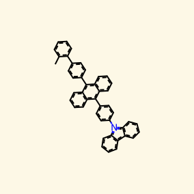 Cc1ccccc1-c1ccc(-c2c3ccccc3c(-c3ccc(-n4c5ccccc5c5ccccc54)cc3)c3ccccc23)cc1